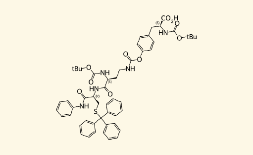 CC(C)(C)OC(=O)N[C@@H](Cc1ccc(OC(=O)NCC[C@H](NC(=O)OC(C)(C)C)C(=O)N[C@@H](CSC(c2ccccc2)(c2ccccc2)c2ccccc2)C(=O)Nc2ccccc2)cc1)C(=O)O